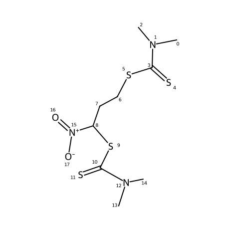 CN(C)C(=S)SCCC(SC(=S)N(C)C)[N+](=O)[O-]